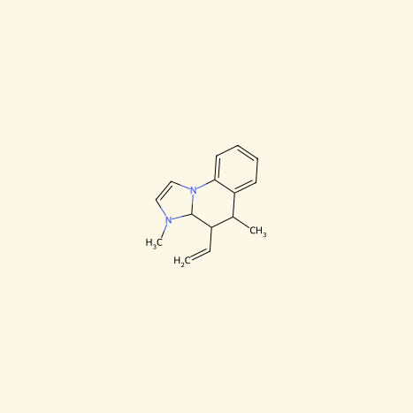 C=CC1C(C)c2ccccc2N2C=CN(C)C12